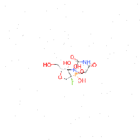 O=c1ccn([C@]2(O)[C@@H](CO)OC[C@@]2(F)P(=O)(O)O)c(=O)[nH]1